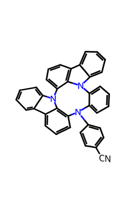 N#Cc1ccc(-n2c3ccccc3n3c4ccccc4c4cccc(c43)n3c4ccccc4c4cccc2c43)cc1